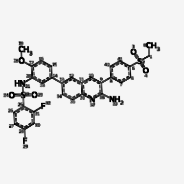 CCS(=O)(=O)c1ccc(-c2cc3cc(-c4ccc(OC)c(NS(=O)(=O)c5ccc(F)cc5F)c4)ccc3nc2N)cc1